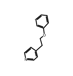 [c]1cccc(OCCc2ccncc2)c1